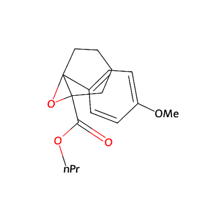 CCCOC(=O)C12CCCCC1(c1ccc(OC)cc1)O2